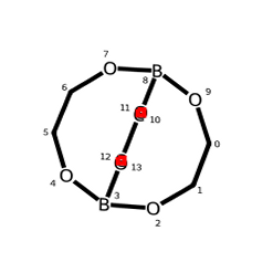 C1COB2OCCOB(O1)OCCO2